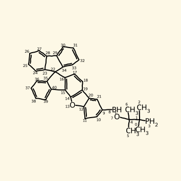 CC(C)(P)C(C)(C)OBc1ccc2oc3c4c(ccc3c2c1)C1(c2ccccc2-c2ccccc21)c1ccccc1-4